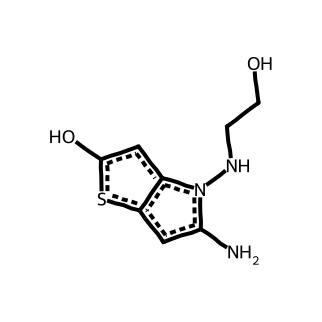 Nc1cc2sc(O)cc2n1NCCO